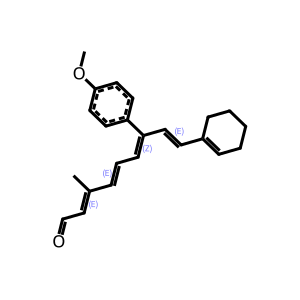 COc1ccc(C(=C\C=C\C(C)=C\C=O)/C=C/C2=CCCCC2)cc1